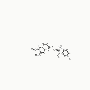 COc1cc2c(cc1OC)CN(CCNC(=O)c1cc(C)ccc1O)CC2